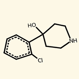 OC1(c2ccccc2Cl)CCNCC1